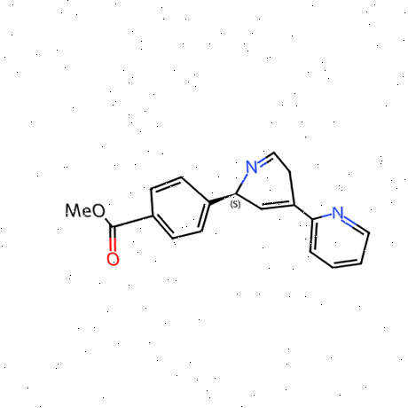 COC(=O)c1ccc([C@@H]2C=C(c3ccccn3)CC=N2)cc1